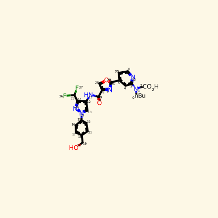 CCCCN(C(=O)O)c1cc(-c2nc(C(=O)Nc3cn(-c4ccc(CO)cc4)nc3C(F)F)co2)ccn1